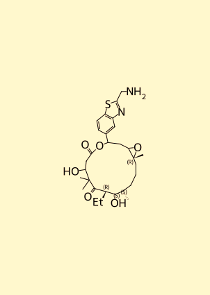 CC[C@H]1C(=O)C(C)(C)C(O)CC(=O)OC(c2ccc3sc(CN)nc3c2)CC2O[C@]2(C)CCC[C@H](C)[C@@H]1O